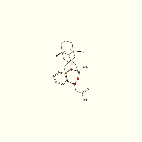 CC(=O)N(c1ncccc1NCC(=O)O)[C@H]1C[C@H]2CCC[C@@H](C1)N2C1CC2CCCC(C2)C1